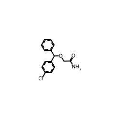 NC(=O)COC(c1ccccc1)c1ccc(Cl)cc1